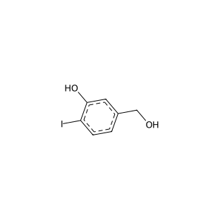 OCc1ccc(I)c(O)c1